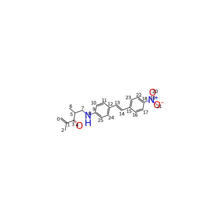 C=C(C)C(=O)C(C)CNc1ccc(C=Cc2ccc([N+](=O)[O-])cc2)cc1